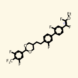 CCO/C(F)=C(\F)c1ccc(-c2ccc(CCC3COC(c4cc(F)c(C(F)(F)F)c(F)c4)OC3)c(F)c2)c(F)c1